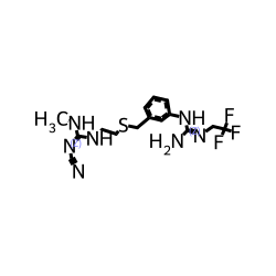 CN/C(=N/C#N)NCCSCc1cccc(N/C(N)=N\CC(F)(F)F)c1